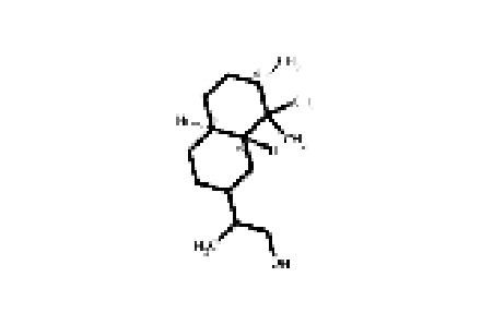 CC(CO)C1CC[C@H]2CC[C@H](C)C(C)(C)[C@@H]2C1